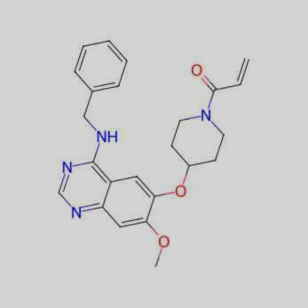 C=CC(=O)N1CCC(Oc2cc3c(NCc4ccccc4)ncnc3cc2OC)CC1